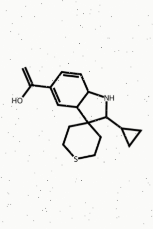 C=C(O)C1=CC2C(C=C1)NC(C1CC1)C21CCSCC1